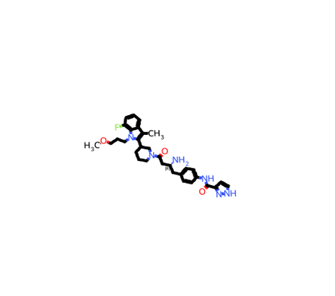 COCCCn1c(C2CCCN(C(=O)C[C@H](N)Cc3ccc(NC(=O)c4cc[nH]n4)cc3)C2)c(C)c2cccc(F)c21